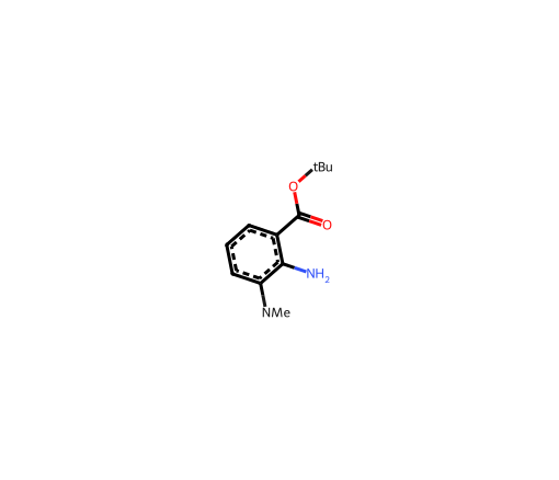 CNc1cccc(C(=O)OC(C)(C)C)c1N